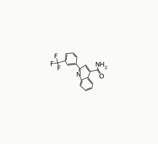 NC(=O)c1cc(-c2cccc(C(F)(F)F)c2)nc2ccccc12